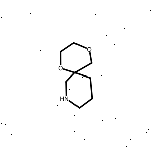 C1CNCC2(C1)COCCO2